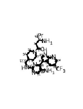 CC(C)[C@@H](N)CC(=O)N1CCC([C@@H](C)Nc2ncc(N)c(-c3c[nH]c4ncc(C(F)(F)F)cc34)n2)CC1